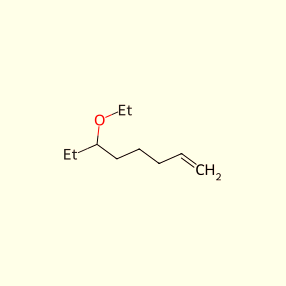 [CH2]CC(CCCC=C)OCC